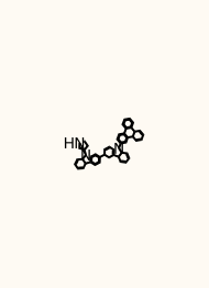 C1=CC2C3=C(C=CC(c4ccc5c(c4)N(C4=CNCC4)C4C=CC=CC54)C3)N(c3ccc4c(c3)C3C=CC=CC3c3ccccc3-4)C2C=C1